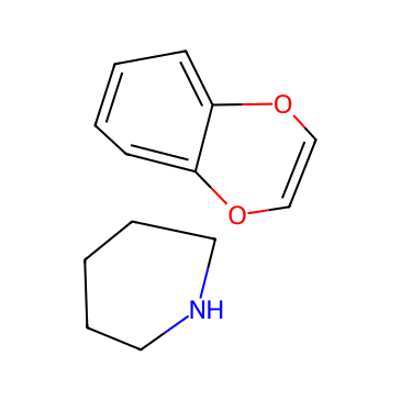 C1=COc2ccccc2O1.C1CCNCC1